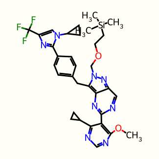 COc1ncnc(C2CC2)c1-c1ncc2nn(COCC[Si](C)(C)C)c(Cc3ccc(-c4nc(C(F)(F)F)cn4C4CC4)cc3)c2n1